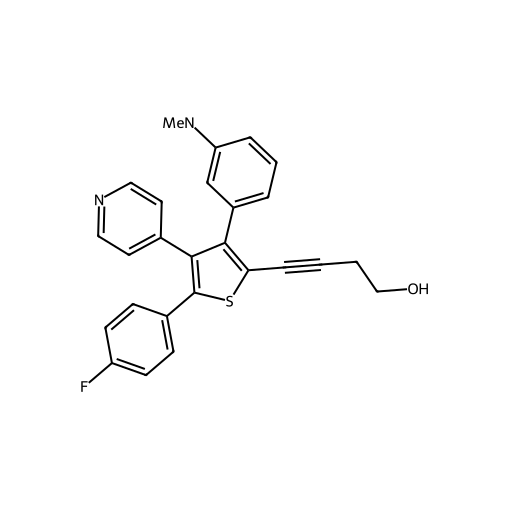 CNc1cccc(-c2c(C#CCCO)sc(-c3ccc(F)cc3)c2-c2ccncc2)c1